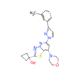 Cc1cccc(-c2ccn(-c3cc(N4CCOCC4)c4sc(C5(O)CCC5)nc4n3)n2)c1